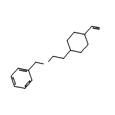 O=CC1CCC(CCOCc2ccccc2)CC1